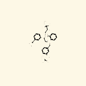 N#Cc1cccc([C@@H]2CN(Cc3cccc(OC(F)(F)F)c3)c3ccccc3N2C[C@@H](O)C(F)(F)F)c1